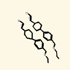 CCCOCc1ccc(C2CCC(/C=C/Cl)CC2)cc1.CCOCc1ccc(C2CCC(/C=C/Cl)CC2)cc1